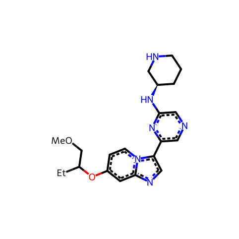 CCC(COC)Oc1ccn2c(-c3cncc(N[C@@H]4CCCNC4)n3)cnc2c1